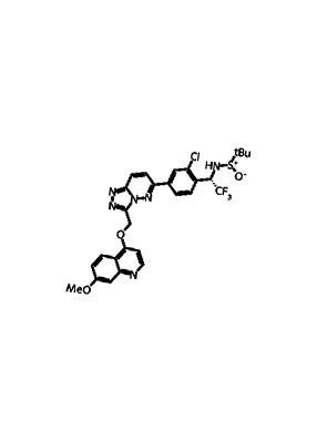 COc1ccc2c(OCc3nnc4ccc(-c5ccc([C@H](N[S+]([O-])C(C)(C)C)C(F)(F)F)c(Cl)c5)nn34)ccnc2c1